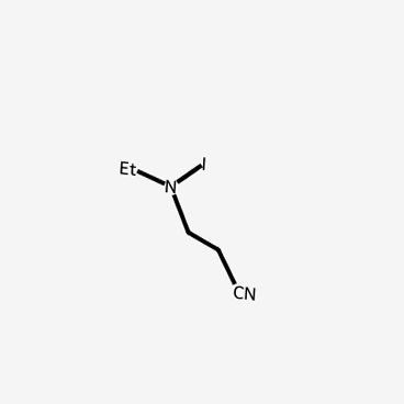 CCN(I)CCC#N